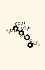 Cc1cc(C(=O)O)cc(-c2cnc(N3CCC(Oc4ccccc4C(F)(F)F)CC3)cc2C(=O)O)n1